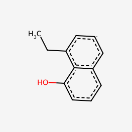 CCc1c[c]cc2cccc(O)c12